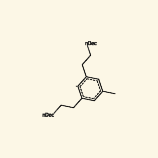 CCCCCCCCCCCCc1[c]c(CCCCCCCCCCCC)cc(C)c1